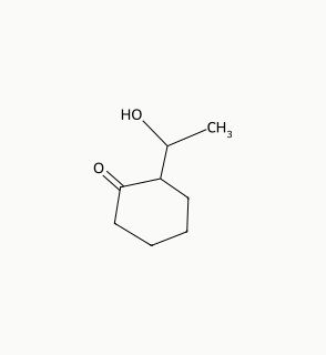 CC(O)C1CCCCC1=O